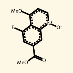 COC(=O)c1cc(F)c2c(OC)cc[n+]([O-])c2c1